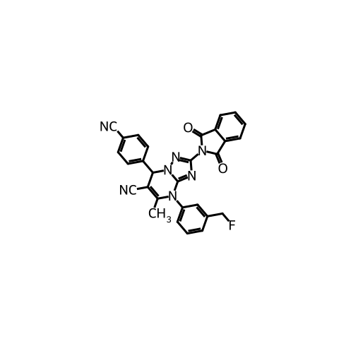 CC1=C(C#N)C(c2ccc(C#N)cc2)n2nc(N3C(=O)c4ccccc4C3=O)nc2N1c1cccc(CF)c1